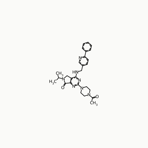 CC(=O)N1CCN(c2nc(NCc3ccc(-c4ccccc4)nc3)c3c(n2)C(=O)N(C(C)C)C3)CC1